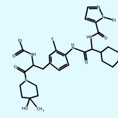 CCC(=O)NC(Cc1ccc(NC(=O)C(NC(=O)c2ccnn2CC)C2CCCCC2)c(F)c1)C(=O)N1CCC(C)(O)CC1